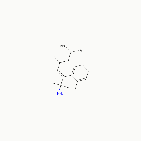 CCCC(CC(C)/C=C(\C1=CCCC=C1C)C(C)(C)N)C(C)C